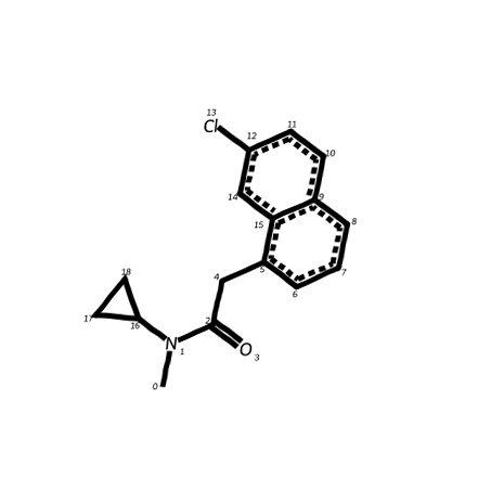 CN(C(=O)Cc1cccc2ccc(Cl)cc12)C1CC1